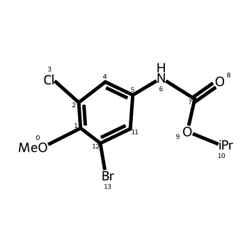 COc1c(Cl)cc(NC(=O)OC(C)C)cc1Br